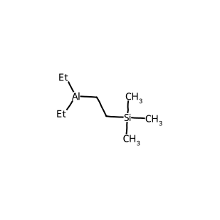 C[CH2][Al]([CH2]C)[CH2]C[Si](C)(C)C